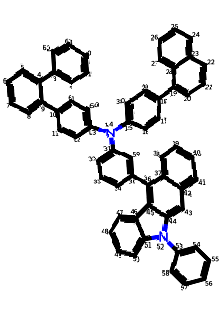 c1ccc(-c2ccccc2-c2ccc(N(c3ccc(-c4cccc5ccccc45)cc3)c3cccc(-c4c5ccccc5cc5c4c4ccccc4n5-c4ccccc4)c3)cc2)cc1